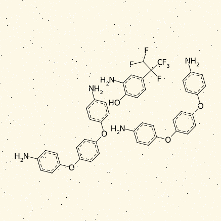 Nc1cc(C(F)(C(F)F)C(F)(F)F)ccc1O.Nc1ccc(Oc2ccc(Oc3ccc(N)cc3)cc2)cc1.Nc1ccc(Oc2ccc(Oc3ccc(N)cc3)cc2)cc1